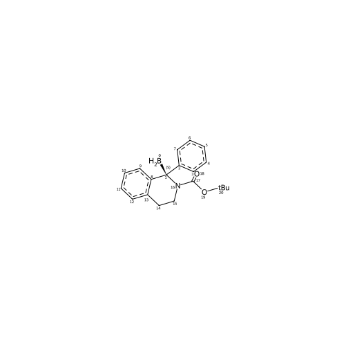 B[C@]1(c2ccccc2)c2ccccc2CCN1C(=O)OC(C)(C)C